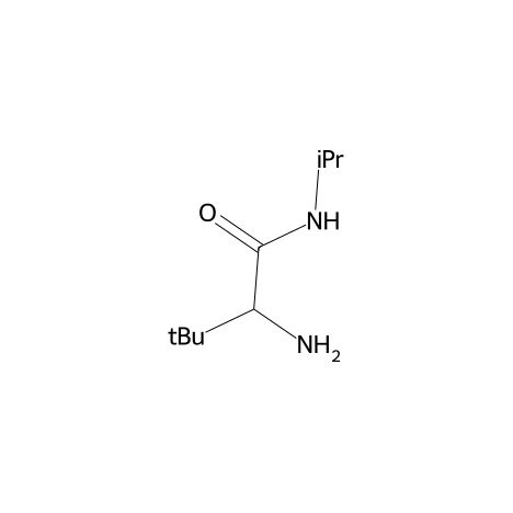 CC(C)NC(=O)C(N)C(C)(C)C